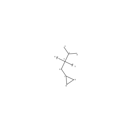 CC(C)C(F)(F)CC1CC1